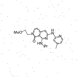 COCCn1ccc2cc(Nc3cc(C)ccn3)nc(NC(C)C)c2c1=O